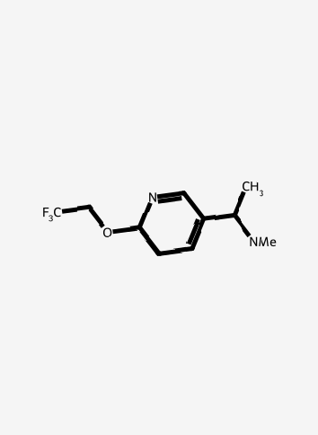 CNC(C)C1=CCC(OCC(F)(F)F)N=C1